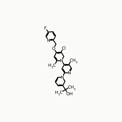 CC1=CC(OCc2ccc(F)cn2)=C(Cl)CN1c1cc(N2C=CC=C(C(C)(C)O)C2)ncc1C